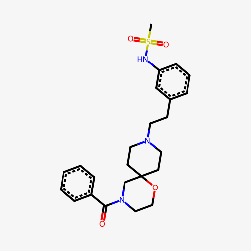 CS(=O)(=O)Nc1cccc(CCN2CCC3(CC2)CN(C(=O)c2ccccc2)CCO3)c1